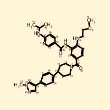 COCCNc1ccc(C(=O)N2CCC(c3ccc(-c4cnn(C)c4)cc3)CC2)cc1NC(=O)c1ccc(NC(C)C)nc1